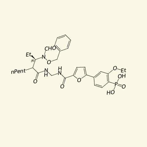 CCCCCC(C(=O)NCNC(=O)c1ccc(-c2ccc(P(=O)(O)O)c(OCC)c2)o1)[C@@H](CC)N(C=O)OCc1ccccc1